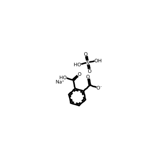 O=C([O-])c1ccccc1C(=O)O.O=S(=O)(O)O.[Na+]